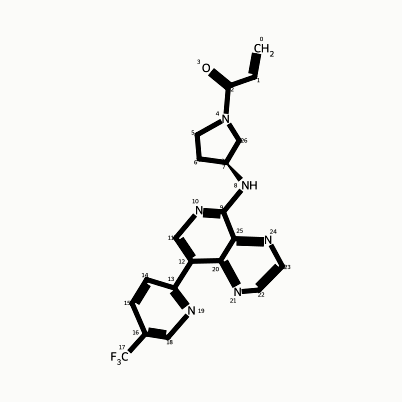 C=CC(=O)N1CC[C@H](Nc2ncc(-c3ccc(C(F)(F)F)cn3)c3nccnc23)C1